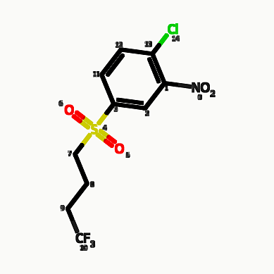 O=[N+]([O-])c1cc(S(=O)(=O)CCCC(F)(F)F)ccc1Cl